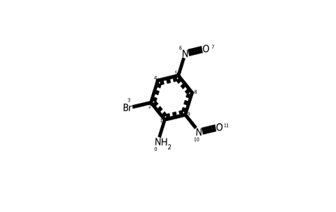 Nc1c(Br)cc(N=O)cc1N=O